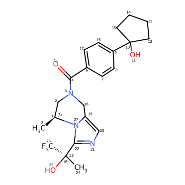 C[C@H]1CN(C(=O)c2ccc(C3(O)CCCC3)cc2)Cc2cnc([C@@](C)(O)C(F)(F)F)n21